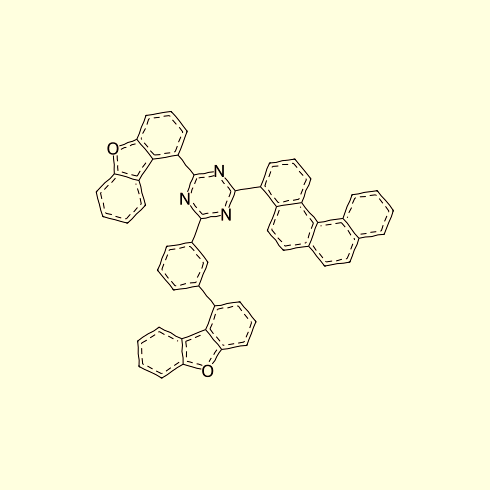 c1cc(-c2nc(-c3cccc4c3ccc3ccc5ccccc5c34)nc(-c3cccc4oc5ccccc5c34)n2)cc(-c2cccc3oc4ccccc4c23)c1